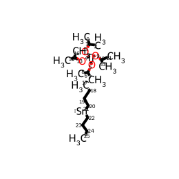 CC(C)[O][Ti]([O]C(C)C)([O]C(C)C)[O]C(C)C.CCC[CH2][Sn][CH2]CCC